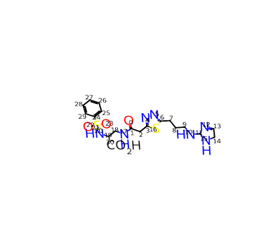 O=C(Cc1nnc(CCCNC2N=CCN2)s1)NC[C@H](NS(=O)(=O)c1ccccc1)C(=O)O